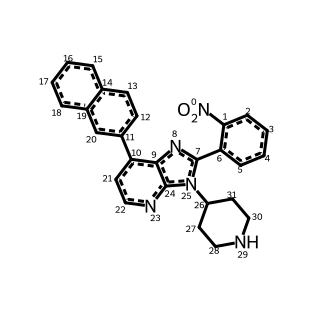 O=[N+]([O-])c1ccccc1-c1nc2c(-c3ccc4ccccc4c3)ccnc2n1C1CCNCC1